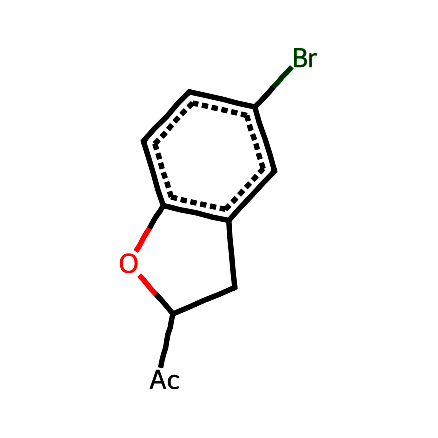 CC(=O)C1Cc2cc(Br)ccc2O1